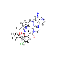 CC(C)N(C[C@@H](C(=O)N1CCN(c2ccnc3[nH]cc(NCc4cccnc4)c23)CC1)c1ccc(Cl)cc1)C(=O)OC(C)(C)C